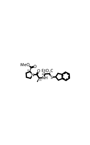 CCOC(=O)[C@H](CSC1Cc2ccccc2C1)N[C@@H](C)C(=O)N1CCC[C@H]1C(=O)OC